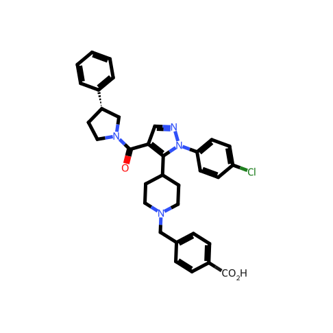 O=C(O)c1ccc(CN2CCC(c3c(C(=O)N4CC[C@H](c5ccccc5)C4)cnn3-c3ccc(Cl)cc3)CC2)cc1